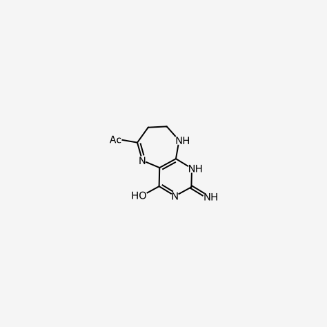 CC(=O)C1=Nc2c(O)nc(=N)[nH]c2NCC1